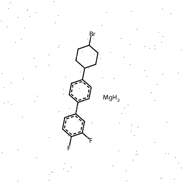 Fc1ccc(-c2ccc(C3CCC(Br)CC3)cc2)cc1F.[MgH2]